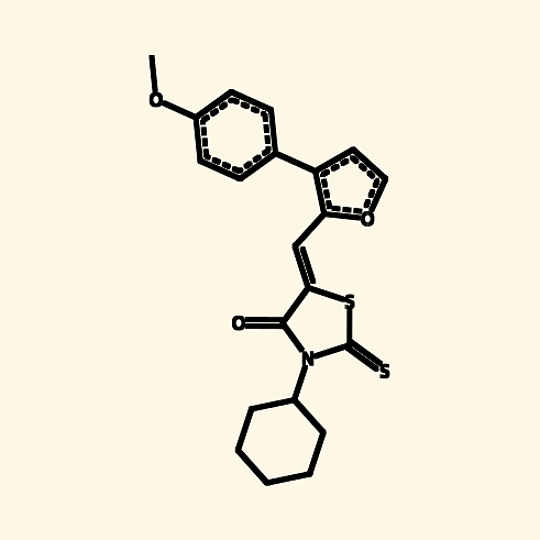 COc1ccc(-c2ccoc2/C=C2\SC(=S)N(C3CCCCC3)C2=O)cc1